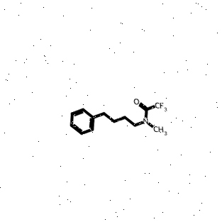 CN(CCCCc1ccccc1)C(=O)C(F)(F)F